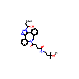 CCOC(C)(C)CCNC(=O)CCC(=O)N1Cc2ccccc2-c2c(nnn2C(O)CNC)-c2ccccc21